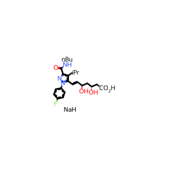 CCCCNC(=O)c1nn(-c2ccc(F)cc2)c(/C=C/[C@H](O)C[C@@H](O)CC(=O)O)c1C(C)C.[NaH]